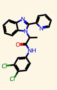 CC(C(=O)Nc1ccc(Cl)c(Cl)c1)n1c(-c2ccccn2)nc2ccccc21